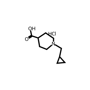 Cl.O=C(O)C1CCN(CC2CC2)CC1